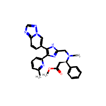 BN(Cc1nc(-c2cccc(C)n2)c(-c2ccc3ncnn3c2)[nH]1)[C@H](CC(=O)OC)c1ccccc1